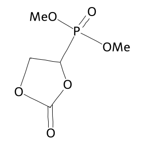 COP(=O)(OC)C1COC(=O)O1